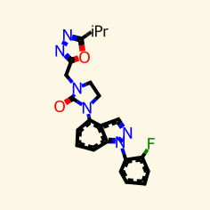 CC(C)c1nnc(CN2CCN(c3cccc4c3cnn4-c3ccccc3F)C2=O)o1